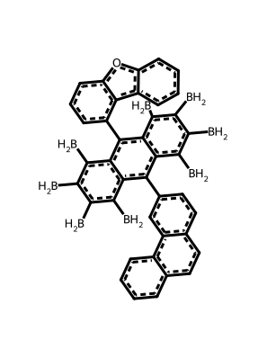 Bc1c(B)c(B)c2c(-c3cccc4oc5ccccc5c34)c3c(B)c(B)c(B)c(B)c3c(-c3ccc4ccc5ccccc5c4c3)c2c1B